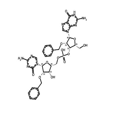 Nc1ncn([C@@H]2O[C@H](COP(=O)(O)O[C@@H]3[C@H](OCc4ccccc4)[C@H](n4cnc5c(=O)[nH]c(N)nc54)O[C@@H]3CO)[C@H](O)[C@@H]2OCc2ccccc2)c(=O)n1